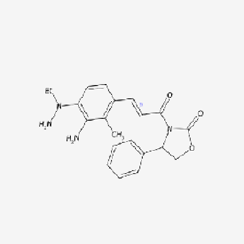 CCN(N)c1ccc(/C=C/C(=O)N2C(=O)OCC2c2ccccc2)c(C)c1N